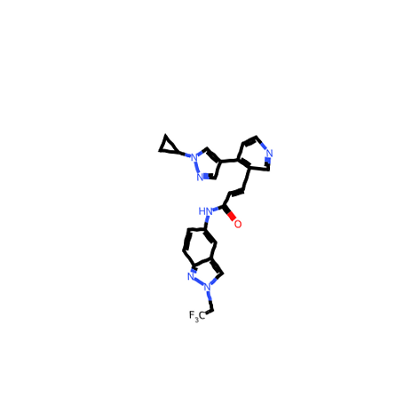 O=C(C=Cc1cnccc1-c1cnn(C2CC2)c1)Nc1ccc2nn(CC(F)(F)F)cc2c1